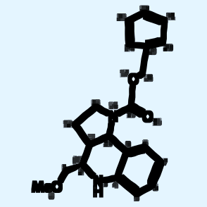 COC[C@@H]1Nc2ccccc2C2C1CCN2C(=O)OCc1ccccc1